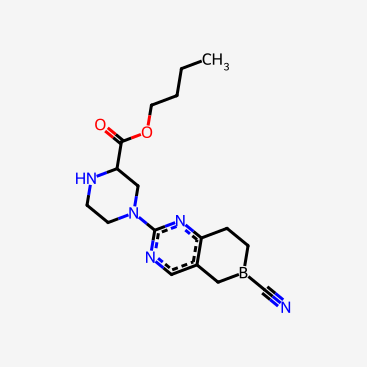 CCCCOC(=O)C1CN(c2ncc3c(n2)CCB(C#N)C3)CCN1